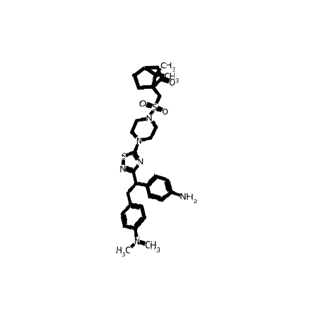 CN(C)c1ccc(CC(c2ccc(N)cc2)c2nsc(N3CCN(S(=O)(=O)CC45CCC(CC4=O)C5(C)C)CC3)n2)cc1